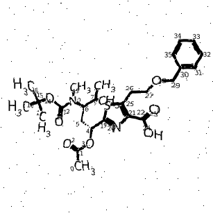 CC(=O)O[C@H](C[C@H](C(C)C)N(C)C(=O)OC(C)(C)C)c1nc(C(=O)O)c(CCOCc2ccccc2)s1